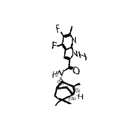 Cc1nc2[nH]c(C(=O)N[C@H]3C4C[C@@H]([C@@H]3C)C(C)(C)C4)cc2c(F)c1F